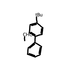 CC(C)(C)c1ccc(-c2ccccc2)cc1.CC=O